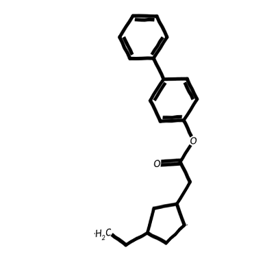 [CH2]CC1C[CH]C(CC(=O)Oc2ccc(-c3ccccc3)cc2)C1